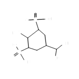 CC(C)C1CC(P(=O)(O)O)C(C)C(P(=O)(O)O)C1